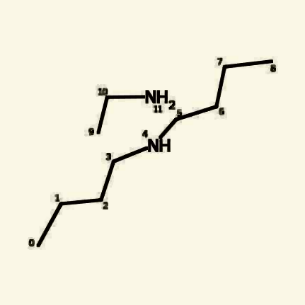 CCCCNCCCC.CCN